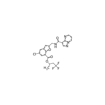 CC(CC(F)(F)F)OC(=O)c1cc(Cl)cc2cc(CNC(=O)c3cnn4cccnc34)oc12